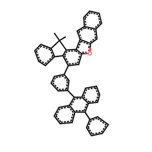 CC1(C)c2ccccc2-c2c(-c3cccc(-c4c5ccccc5c(-c5ccccc5)c5ccccc45)c3)cc3oc4cc5ccccc5cc4c3c21